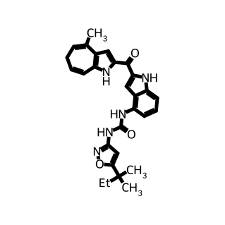 CCC(C)(C)c1cc(NC(=O)Nc2cccc3[nH]c(C(=O)c4cc5c([nH]4)C=CCC=C5C)cc23)no1